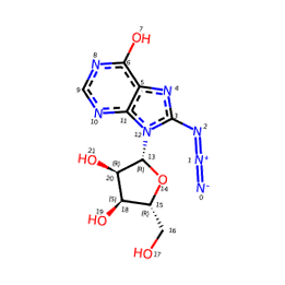 [N-]=[N+]=Nc1nc2c(O)ncnc2n1[C@@H]1O[C@H](CO)[C@@H](O)[C@H]1O